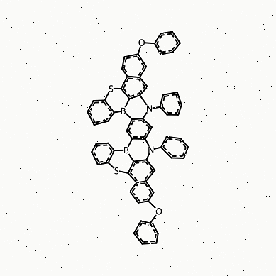 c1ccc(Oc2ccc3c4c5c(cc3c2)N(c2ccccc2)c2cc3c(cc2B5c2ccccc2S4)B2c4ccccc4Sc4c2c(cc2cc(Oc5ccccc5)ccc42)N3c2ccccc2)cc1